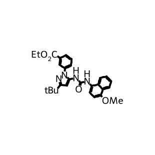 CCOC(=O)c1cccc(-n2nc(C(C)(C)C)cc2NC(=O)Nc2ccc(OC)c3ccccc23)c1